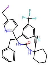 C#CC1(NC(=O)N[C@@](Cc2ccccc2)(c2cc(F)cc(C(F)(F)F)c2)c2ccc(CI)cn2)CCCCC1